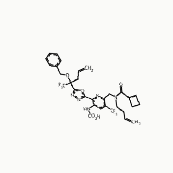 C=CCCN(Cc1nc(-c2nnc(C(CC=C)(OCc3ccccc3)C(F)(F)F)o2)c(NC(=O)O)cc1C(F)(F)F)C(=O)C1CCC1